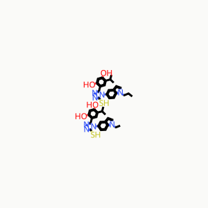 CCCn1ccc2cc(-n3c(S)nnc3-c3cc(C(C)C)c(O)cc3O)ccc21.CCn1ccc2cc(-n3c(S)nnc3-c3cc(C(C)C)c(O)cc3O)ccc21